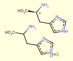 Cl.NC(Cc1c[nH]cn1)C(=O)O.N[C@@H](Cc1c[nH]cn1)C(=O)O